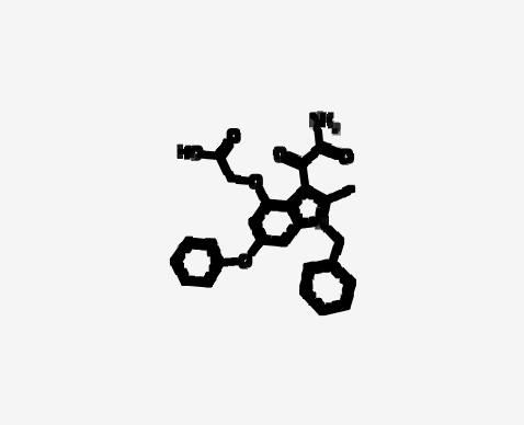 Cc1c(C(=O)C(N)=O)c2c(OCC(=O)O)cc(Oc3ccccc3)cc2n1Cc1ccccc1